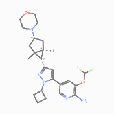 CC12C[C@@H](N3CCOCC3)C[C@H]1[C@@H]2c1cc(-c2cnc(N)c(OC(F)F)c2)n(C2CCC2)n1